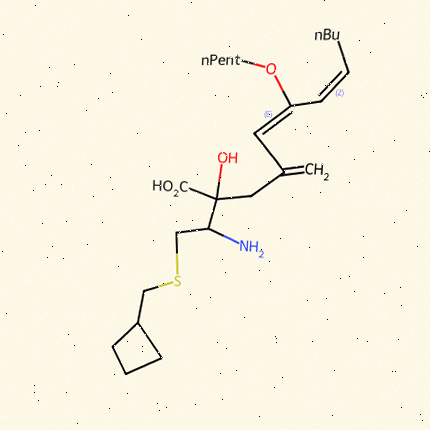 C=C(/C=C(\C=C/CCCC)OCCCCC)CC(O)(C(=O)O)C(N)CSCC1CCC1